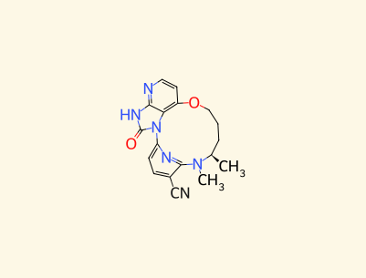 C[C@@H]1CCCOc2ccnc3[nH]c(=O)n(c23)-c2ccc(C#N)c(n2)N1C